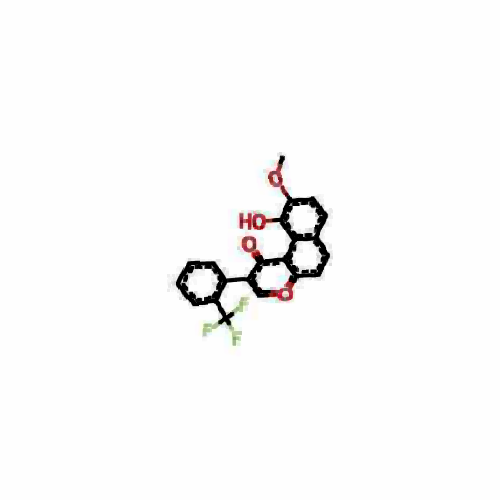 COc1ccc2ccc3occ(-c4ccccc4C(F)(F)F)c(=O)c3c2c1O